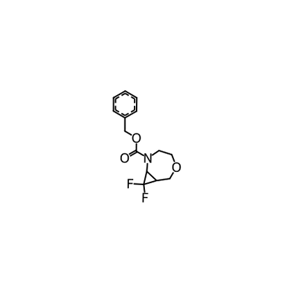 O=C(OCc1ccccc1)N1CCOCC2C1C2(F)F